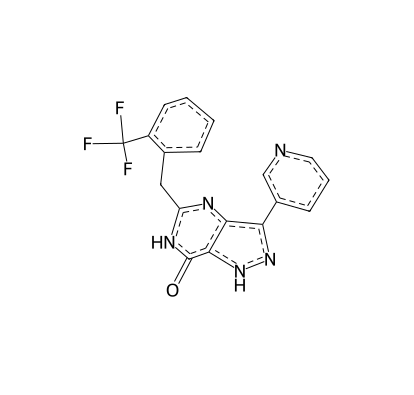 O=c1[nH]c(Cc2ccccc2C(F)(F)F)nc2c(-c3cccnc3)n[nH]c12